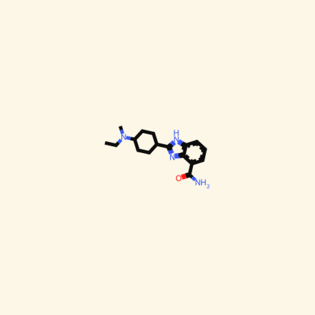 CCN(C)C1CCC(c2nc3c(C(N)=O)cccc3[nH]2)CC1